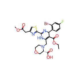 CCOC(=O)C1=C(CN2CCOC[C@H]2C(=O)O)NC(c2nc(CC(=O)OC)cs2)=NC1c1ccc(F)cc1Br